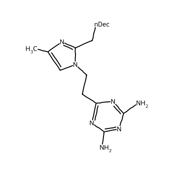 CCCCCCCCCCCc1nc(C)cn1CCc1nc(N)nc(N)n1